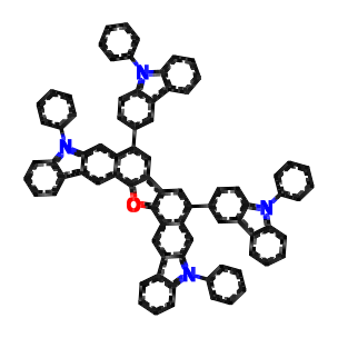 c1ccc(-n2c3ccccc3c3cc(-c4cc5c6cc(-c7ccc8c(c7)c7ccccc7n8-c7ccccc7)c7cc8c(cc7c6oc5c5cc6c7ccccc7n(-c7ccccc7)c6cc45)c4ccccc4n8-c4ccccc4)ccc32)cc1